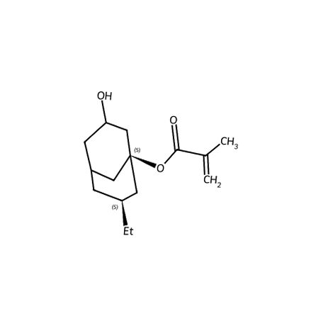 C=C(C)C(=O)O[C@@]12CC(O)CC(C[C@H](CC)C1)C2